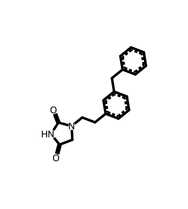 O=C1CN(CCc2cccc(Cc3ccccc3)c2)C(=O)N1